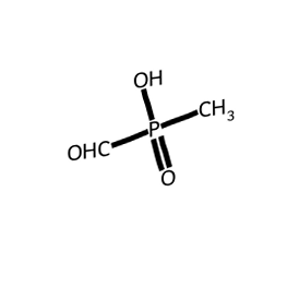 CP(=O)(O)C=O